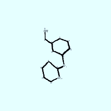 OCC1CCCC(OC2CCCCO2)C1